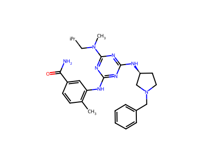 Cc1ccc(C(N)=O)cc1Nc1nc(N[C@H]2CCN(Cc3ccccc3)C2)nc(N(C)CC(C)C)n1